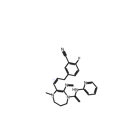 C=NC1=C(/C=C\Cc2ccc(F)c(C#N)c2)N(C)CCCN1C(=C)Nc1ccccn1